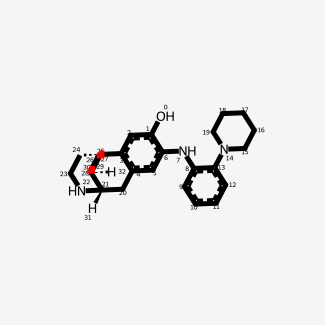 Oc1cc2c(cc1Nc1ccccc1N1CCCCC1)C[C@@H]1NCC[C@]23CCCC[C@H]13